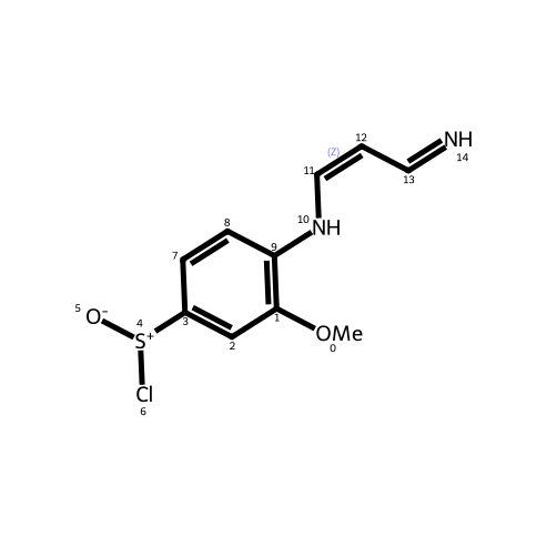 COc1cc([S+]([O-])Cl)ccc1N/C=C\C=N